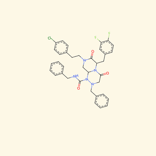 O=C1C(Cc2ccc(F)c(F)c2)N2C(=O)CN(Cc3ccccc3)N(C(=O)NCc3ccccc3)C2CN1CCc1ccc(Cl)cc1